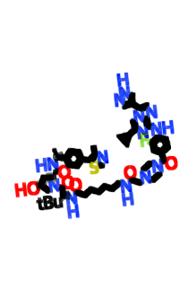 Cc1ncsc1-c1ccc([C@H](C)NC(=O)[C@H]2C[C@H](O)CN2C(=O)[C@@H](NC(=O)CCCCCCNC(=O)CN2CCN(C(=O)c3ccc(Nc4nc(C5CC5)cn5c(-c6cn[nH]c6)cnc45)c(F)c3)CC2)C(C)(C)C)cc1